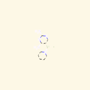 Br.Nc1ncc(C[n+]2ccccc2)c(N)n1.[Br-]